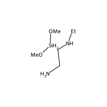 CCNCCN.CO[SiH2]OC